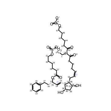 CCN(C(=O)CCC/C=C\C[C@@H]1[C@@H](/C=C/[C@H](CCc2ccccc2)OC(=O)CCCCCO[N+](=O)[O-])[C@H](O)C[C@@H]1O)C(=O)CCCCCO[N+](=O)[O-]